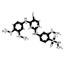 CNS(=O)(=O)c1ccc(Nc2ncc(F)c(Nc3ccc(OC)c(OC)c3)n2)cc1OC